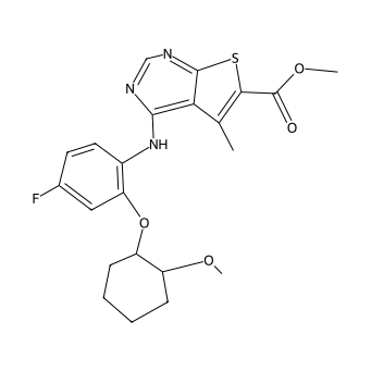 COC(=O)c1sc2ncnc(Nc3ccc(F)cc3OC3CCCCC3OC)c2c1C